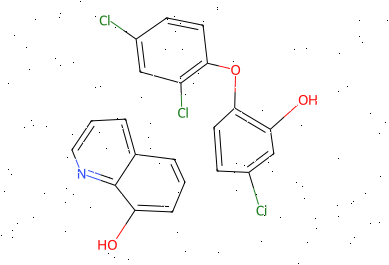 Oc1cc(Cl)ccc1Oc1ccc(Cl)cc1Cl.Oc1cccc2cccnc12